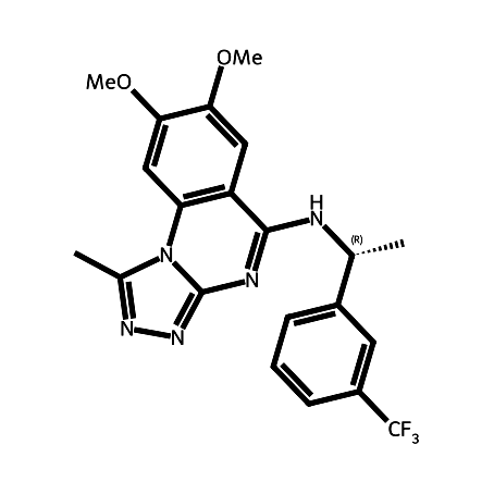 COc1cc2c(N[C@H](C)c3cccc(C(F)(F)F)c3)nc3nnc(C)n3c2cc1OC